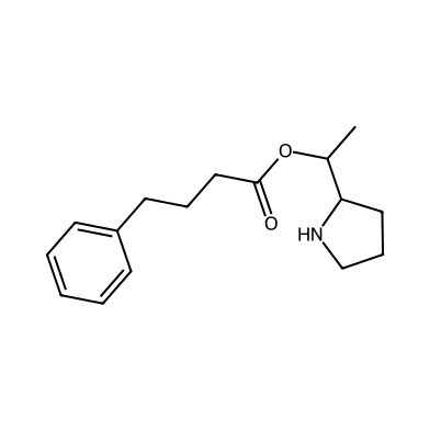 CC(OC(=O)CCCc1ccccc1)C1CCCN1